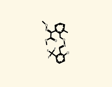 CO/N=C(/C(=O)OC)c1cccc(C)c1CO/N=C/c1c(Cl)cccc1C(F)(F)F